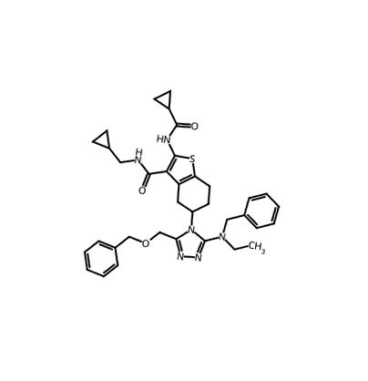 CCN(Cc1ccccc1)c1nnc(COCc2ccccc2)n1C1CCc2sc(NC(=O)C3CC3)c(C(=O)NCC3CC3)c2C1